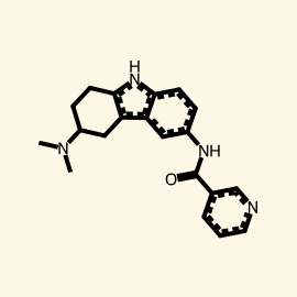 CN(C)C1CCc2[nH]c3ccc(NC(=O)c4cccnc4)cc3c2C1